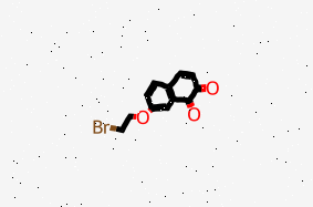 O=C1C=Cc2ccc(OCCBr)cc2C1=O